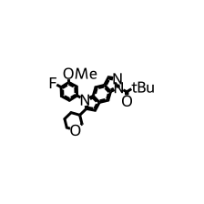 COc1cc(-n2c(C3CCCOC3)cc3cc4c(cnn4C(=O)C(C)(C)C)cc32)ccc1F